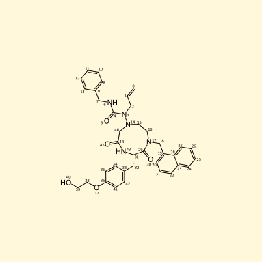 C=CCN(C(=O)NCc1ccccc1)N1CCN(Cc2cccc3ccccc23)C(=O)[C@H](Cc2ccc(OCCO)cc2)NC(=O)C1